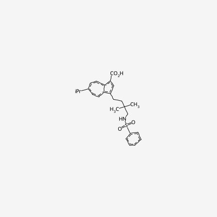 CC(C)c1ccc2c(CCC(C)(C)CNS(=O)(=O)c3ccccc3)cc(C(=O)O)c-2cc1